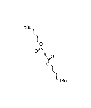 CC(C)(C)CCCCOC(=O)/C=C/C(=O)OCCCCC(C)(C)C